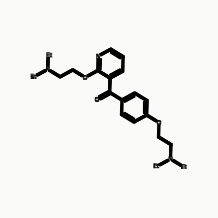 CCN(CC)CCOc1ccc(C(=O)c2cccnc2OCCN(CC)CC)cc1